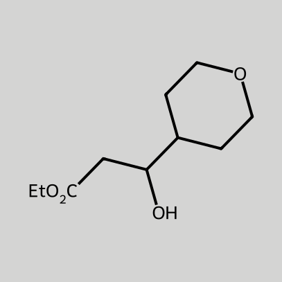 CCOC(=O)CC(O)C1CCOCC1